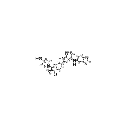 O=C(N1CC=C(c2cc3c(Nc4ccc5ncsc5c4)ccnc3[nH]2)CC1)C1(CN2CCC(O)CC2)CC1